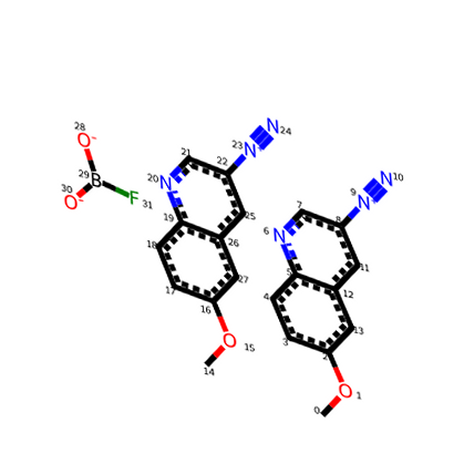 COc1ccc2ncc([N+]#N)cc2c1.COc1ccc2ncc([N+]#N)cc2c1.[O-]B([O-])F